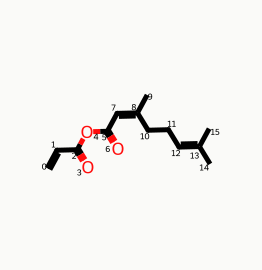 C=CC(=O)OC(=O)/C=C(/C)CCC=C(C)C